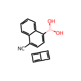 N#Cc1ccc(B(O)O)c2ccccc12.c1cc2ccc1-2